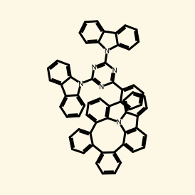 c1ccc(-c2cccc3c4ccccc4c4ccccc4c4cccc5c6ccccc6n(c23)c45)c(-c2nc(-n3c4ccccc4c4ccccc43)nc(-n3c4ccccc4c4ccccc43)n2)c1